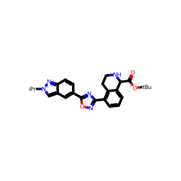 CC(C)n1cc2cc(-c3nc(-c4cccc5c4CCNC5C(=O)OC(C)(C)C)no3)ccc2n1